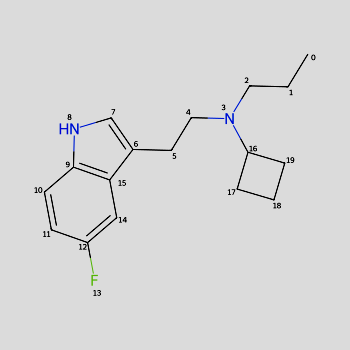 CCCN(CCc1c[nH]c2ccc(F)cc12)C1CCC1